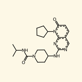 CC(C)NC(=O)N1CCC(Nc2ncc3ccc(=O)n(C4CCCC4)c3n2)CC1